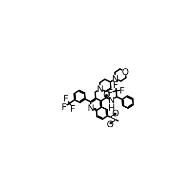 CS(=O)(=O)c1ccc2nc(-c3cccc(C(F)(F)F)c3)c(CN3CCC(N4CCOCC4)CC3)c(C(=O)NC(c3ccccc3)C(F)(F)F)c2c1